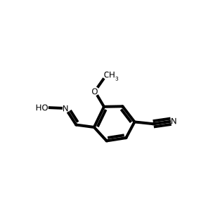 COc1cc(C#N)ccc1C=NO